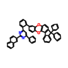 c1ccc(-c2cc(-c3ccccc3-c3ccc4c(c3)Oc3ccc5c(c3O4)-c3ccccc3C5(c3ccccc3)c3ccccc3)nc(-c3ccc4ccccc4c3)n2)cc1